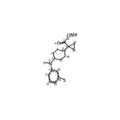 COC(=O)C1(N2CCC(N(C)c3cccc(C)c3)CC2)CC1